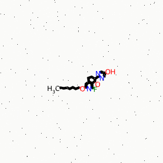 CCCCCCCCOc1cc2c(c(F)n1)C(=O)C(c1ncc(O)cn1)CC2